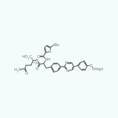 CCCCCCCOc1ccc(-c2cnc(-c3ccc(CC(NC(=O)c4ccc(C(C)(C)C)s4)C(=O)N[C@@H](CCC(N)=O)C(=O)O)cc3)nc2)cc1